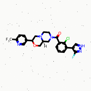 O=C(c1cccc(-c2c[nH]nc2F)c1Cl)N1CCN2CC(c3ccc(C(F)(F)F)nc3)OC[C@@H]2C1